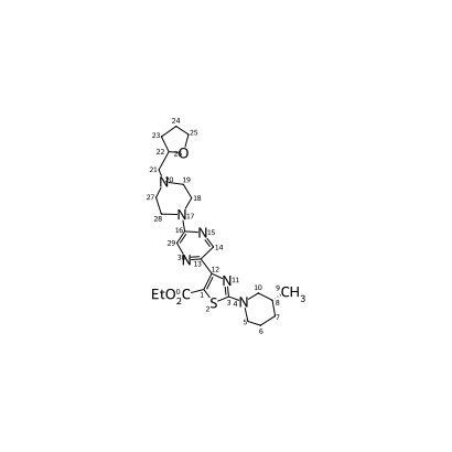 CCOC(=O)c1sc(N2CCC[C@@H](C)C2)nc1-c1cnc(N2CCN(CC3CCCO3)CC2)cn1